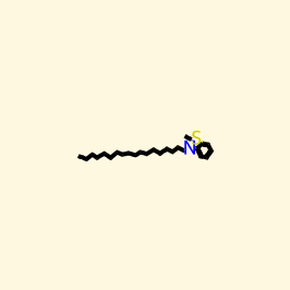 CCCCCCCCCCCCCCCCCCN1c2ccccc2SC1C